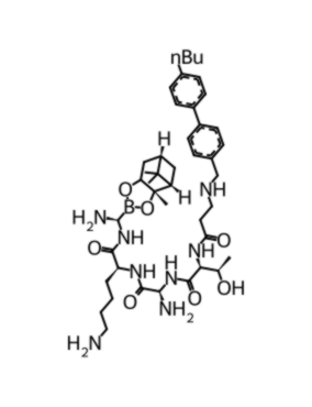 CCCCc1ccc(-c2ccc(CNCCC(=O)N[C@H](C(=O)N[C@@H](N)C(=O)N[C@@H](CCCCN)C(=O)N[C@@H](N)B3OC4C[C@@H]5C[C@@H](C5(C)C)[C@]4(C)O3)[C@@H](C)O)cc2)cc1